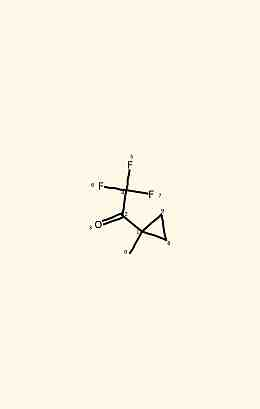 CC1(C(=O)C(F)(F)F)CC1